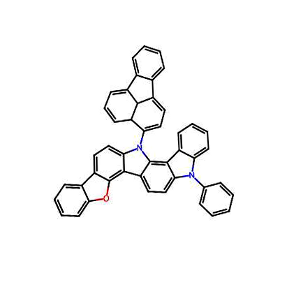 C1=CC2C(n3c4ccc5c6ccccc6oc5c4c4ccc5c(c6ccccc6n5-c5ccccc5)c43)=CC=C3c4ccccc4C(=C1)C32